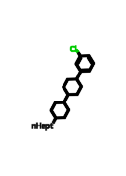 CCCCCCCC1CCC(C2CCC(c3cccc(Cl)c3)CC2)CC1